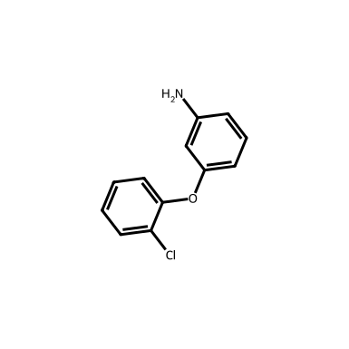 Nc1cccc(Oc2ccccc2Cl)c1